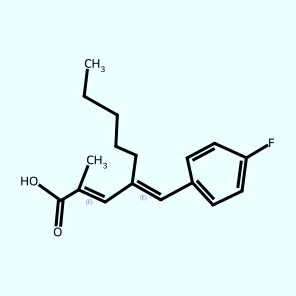 CCCCCC(=C\c1ccc(F)cc1)/C=C(\C)C(=O)O